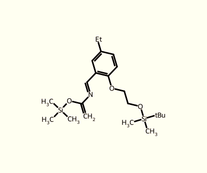 C=C(/N=C/c1cc(CC)ccc1OCCO[Si](C)(C)C(C)(C)C)O[Si](C)(C)C